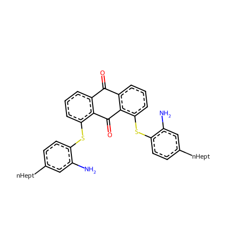 CCCCCCCc1ccc(Sc2cccc3c2C(=O)c2c(Sc4ccc(CCCCCCC)cc4N)cccc2C3=O)c(N)c1